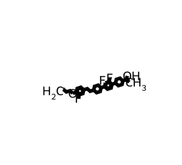 C=CCCOc1ccc(CCC2CCC(c3ccc(C4CCC(C(C)O)CC4)c(F)c3F)CC2)cc1F